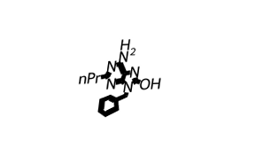 CCCc1nc(N)c2nc(O)n(Cc3ccccc3)c2n1